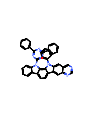 c1ccc(-c2nc(-c3ccccc3)nc(-n3c4ccccc4c4ccc5c6cc7ncncc7cc6n(-c6ccccc6)c5c43)n2)cc1